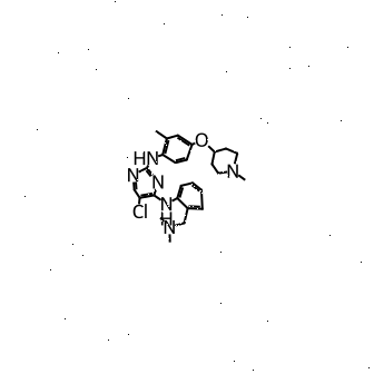 Cc1cc(OC2CCN(C)CC2)ccc1Nc1ncc(Cl)c(Nc2ccccc2CN(C)C)n1